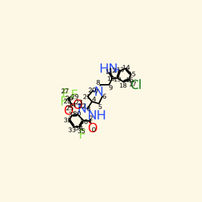 O=C1NC(C2CCN(CCc3c[nH]c4ccc(Cl)cc34)CC2)N(OC(=O)C(F)(F)F)c2cccc(F)c21